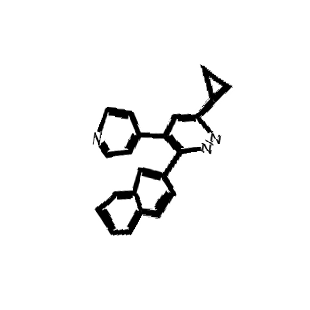 c1ccc2cc(-c3nnc(C4CC4)cc3-c3ccncc3)ccc2c1